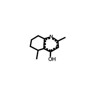 Cc1cc(O)c2c(n1)CCCC2C